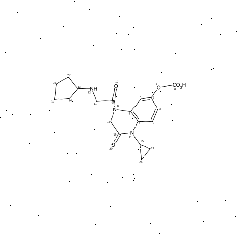 O=C(O)Oc1ccc2c(c1)N(C(=O)CNC1CCCC1)CC(=O)N2C1CC1